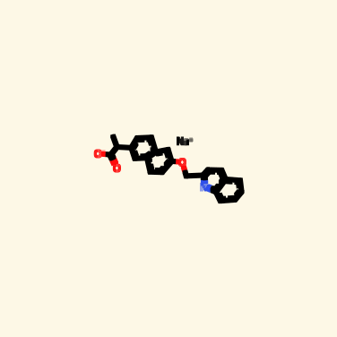 CC(C(=O)[O-])c1ccc2cc(OCc3ccc4ccccc4n3)ccc2c1.[Na+]